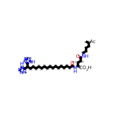 CC(=O)[C@@H](C)CCCCNC(=O)CCC(NC(=O)CCCCCCCCCCCCCCCC(c1nnn[nH]1)c1nnn[nH]1)C(=O)O